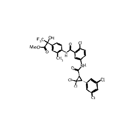 COC(=O)C(O)(c1ccc(NC(=O)c2cc(NC(=O)[C@H]3[C@H](c4cc(Cl)cc(Cl)c4)C3(Cl)Cl)ccc2Cl)c(C)c1)C(F)(F)F